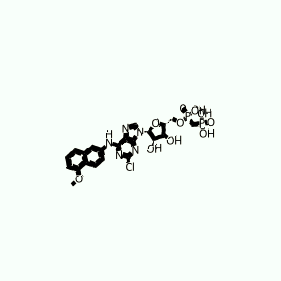 COc1cccc2cc(Nc3nc(Cl)nc4c3ncn4[C@@H]3O[C@H](COP(=O)(O)CP(=O)(O)O)C(O)[C@@H]3O)ccc12